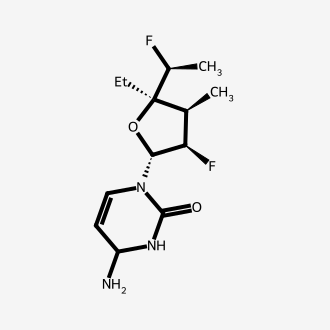 CC[C@@]1([C@H](C)F)O[C@@H](N2C=CC(N)NC2=O)[C@H](F)[C@@H]1C